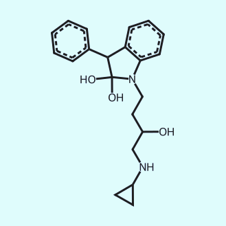 OC(CCN1c2ccccc2C(c2ccccc2)C1(O)O)CNC1CC1